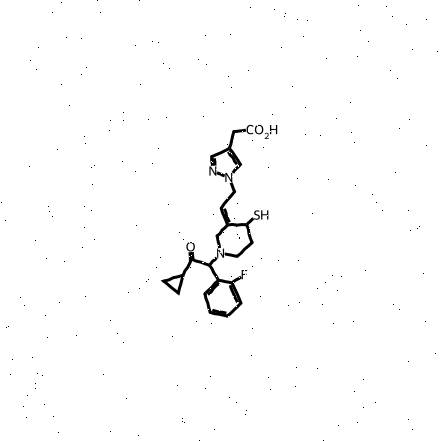 O=C(O)Cc1cnn(CC=C2CN(C(C(=O)C3CC3)c3ccccc3F)CCC2S)c1